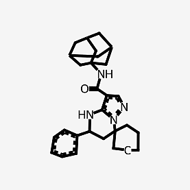 O=C(NC12CC3CC(CC(C3)C1)C2)c1cnn2c1NC(c1ccccc1)CC21CCCCC1